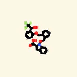 O=C(O)c1cc2ccccc2n1OCc1ccccc1COc1ccccc1C(O)C(F)(F)F